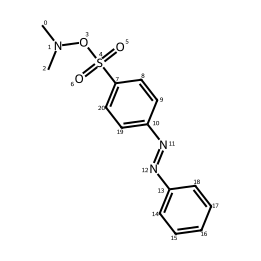 CN(C)OS(=O)(=O)c1ccc(/N=N/c2ccccc2)cc1